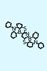 c1ccc(N2c3ccccc3B3c4cc5c(nc4Sc4cccc2c43)B2c3ccccc3N(c3ccccc3)c3cccc(c32)S5)cc1